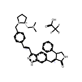 CN(C)C[C@H]1CCCN1Cc1ccc(/C=C/c2n[nH]c3cc(/C=C4/C(=O)NCC4c4ccccc4)ccc23)cc1.O=C(O)C(F)(F)F